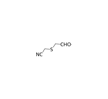 N#CCSC[C]=O